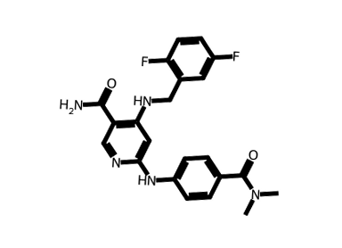 CN(C)C(=O)c1ccc(Nc2cc(NCc3cc(F)ccc3F)c(C(N)=O)cn2)cc1